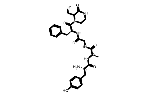 CC(C)CC1C(=O)NCCN1C(=O)[C@H](Cc1ccccc1)NC(=O)CNC(=O)[C@@H](C)NC(=O)[C@@H](N)Cc1ccc(O)cc1